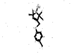 Cc1ccc(OCC2=CC(C)(C)N(O)C2(C)C)cc1